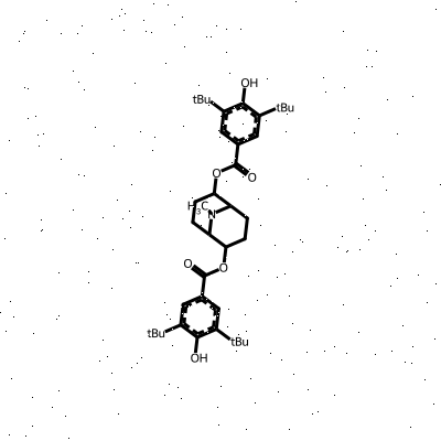 CN1C2CCC(OC(=O)c3cc(C(C)(C)C)c(O)c(C(C)(C)C)c3)C1CCC2OC(=O)c1cc(C(C)(C)C)c(O)c(C(C)(C)C)c1